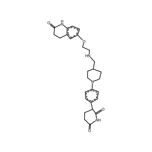 O=C1CCC(c2ccc(N3CCC(CNCCOc4ccc5c(c4)CCC(=O)N5)CC3)cc2)C(=O)N1